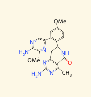 COc1ccc(C2Cc3nc(N)nc(C)c3C(=O)N2)c(-c2cnc(N)c(OC)n2)c1